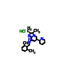 Cc1cccc(C)c1CNc1cc(-c2ccccn2)cn2c(C)c(C)nc12.Cl